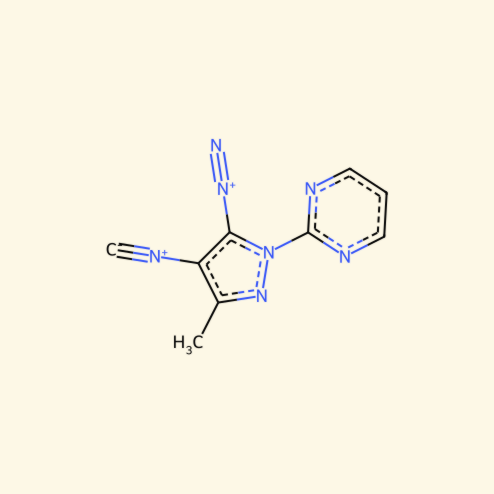 [C-]#[N+]c1c(C)nn(-c2ncccn2)c1[N+]#N